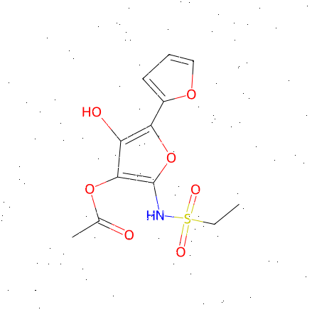 CCS(=O)(=O)Nc1oc(-c2ccco2)c(O)c1OC(C)=O